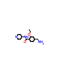 CCOc1cc(CN)ccc1C(=O)Nc1ccncc1